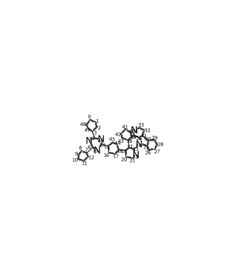 c1ccc(-c2nc(-c3ccccc3)nc(-c3ccc(-c4ccnc(-n5c6ccccc6c6ccncc65)c4-c4ccccc4)cc3)n2)cc1